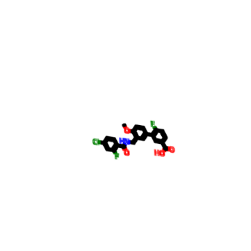 COc1ccc(-c2cc(C(=O)O)ccc2F)cc1CNC(=O)c1ccc(Cl)cc1F